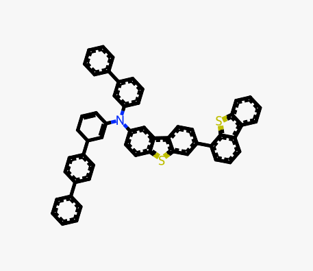 C1=CC(N(c2cccc(-c3ccccc3)c2)c2ccc3sc4cc(-c5cccc6c5sc5ccccc56)ccc4c3c2)=CC(c2ccc(-c3ccccc3)cc2)C1